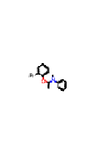 CC(C)c1ccccc1OC(C)N(C)c1ccccc1